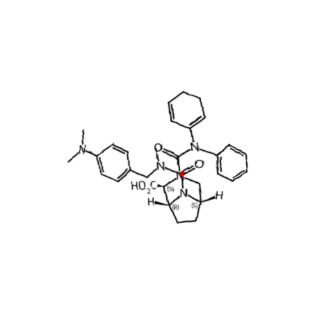 CN(Cc1ccc(N(C)C)cc1)C(=O)N1[C@H]2CC[C@@H]1[C@@H](C(=O)O)N(C(=O)N(C1=CCCC=C1)c1ccccc1)C2